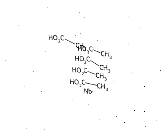 CC(=O)O.CC(=O)O.CC(=O)O.CC(=O)O.CC(=O)O.[Nb]